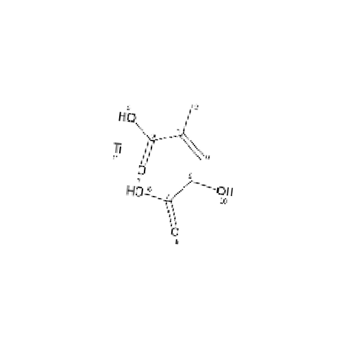 C=C(C)C(=O)O.O=C(O)CO.[Ti]